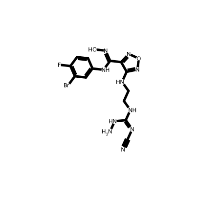 N#C/N=C(\NN)NCCNc1nonc1/C(=N/O)Nc1ccc(F)c(Br)c1